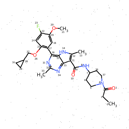 CCC(=O)N1CCC(NC(=O)c2c(C)[nH]c3c(-c4cc(OC)c(F)cc4OCC4CC4)nc(C)nc23)CC1